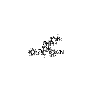 CN(C)c1ccc(CNC(=O)c2cc3c(OCc4ccccc4)cccc3n2Cc2cccc(C#N)c2)cc1